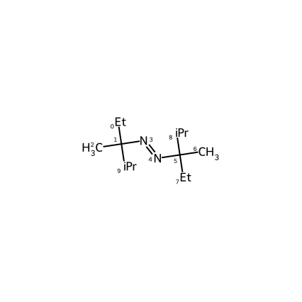 CCC(C)(/N=N/C(C)(CC)C(C)C)C(C)C